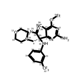 CCOc1nc(N)nc([C@@](CN2CCOCC2)(Nc2cccc(C(F)(F)F)c2)C(N)=O)c1C#N